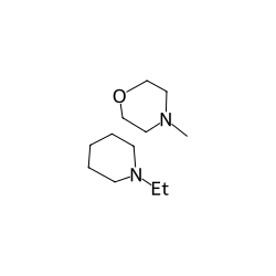 CCN1CCCCC1.CN1CCOCC1